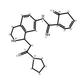 N=C(Nc1ccc2c(c1)C(CC(=O)N1CCCC1)NCC2)C1=CC=CCC1=S